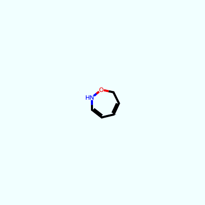 [C]1=CCONC=C1